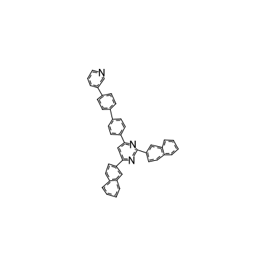 c1cncc(-c2ccc(-c3ccc(-c4cc(-c5ccc6ccccc6c5)nc(-c5ccc6ccccc6c5)n4)cc3)cc2)c1